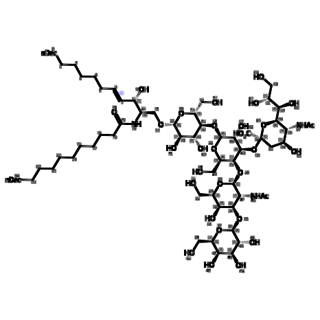 CCCCCCCCCCCCCCC/C=C/[C@H](O)[C@@H](CO[C@@H]1O[C@H](CO)[C@@H](O[C@@H]2O[C@H](CO)[C@H](O[C@@H]3O[C@H](CO)[C@H](O)[C@H](O[C@@H]4O[C@H](CO)[C@H](O)[C@H](O)[C@H]4O)[C@H]3NC(C)=O)[C@H](O[C@]3(C(=O)O)C[C@H](O)[C@@H](NC(C)=O)[C@H]([C@H](O)[C@H](O)CO)O3)[C@H]2O)[C@H](O)[C@H]1O)NC(=O)CCCCCCCCCCCCCCCCCCC